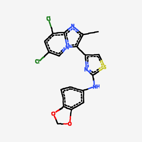 Cc1nc2c(Cl)cc(Cl)cn2c1-c1csc(Nc2ccc3c(c2)OCO3)n1